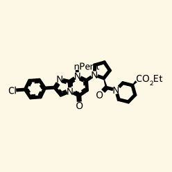 CCCCCn1c(N2CCC[C@H]2C(=O)N2CCC[C@H](C(=O)OCC)C2)cc(=O)n2cc(-c3ccc(Cl)cc3)nc12